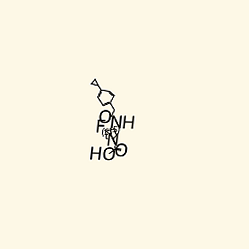 O=C(Cc1ccc(C2CC2)cc1)N[C@H]1CN(C(=O)O)C[C@@H]1F